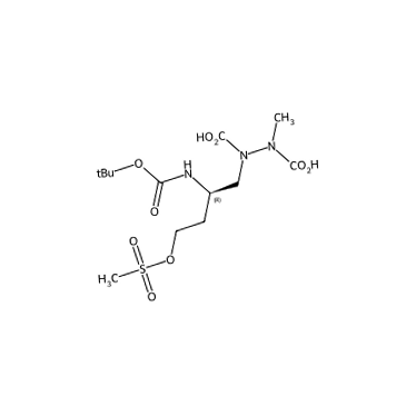 CN(C(=O)O)N(C[C@@H](CCOS(C)(=O)=O)NC(=O)OC(C)(C)C)C(=O)O